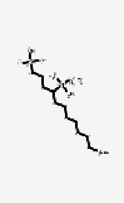 CCCCCCCCCCCCCCCCCC(CCC[Si](O)(O)O)[N+](C)(C)C.[Cl-]